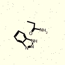 CCC(N)=O.c1ccc2[nH]nnc2c1